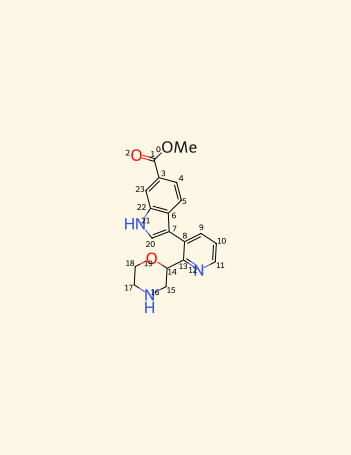 COC(=O)c1ccc2c(-c3cccnc3C3CNCCO3)c[nH]c2c1